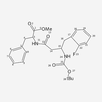 COC(=O)C(Cc1ccccc1)NC(=O)CC(Cc1ccccc1F)NC(=O)OC(C)(C)C